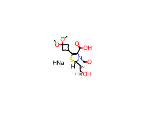 COC1(OC)CC(C2=C(C(=O)O)N3C(=O)[C@H]([C@@H](C)O)[C@H]3S2)C1.[NaH]